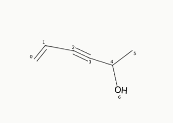 C=CC#CC(C)O